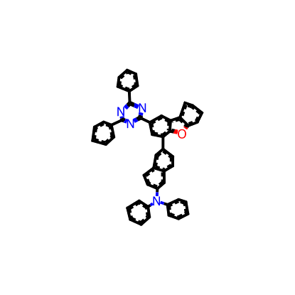 c1ccc(-c2nc(-c3ccccc3)nc(-c3cc(-c4ccc5cc(N(c6ccccc6)c6ccccc6)ccc5c4)c4oc5ccccc5c4c3)n2)cc1